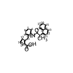 CC(C(=O)Nc1ccccc1Cc1ccsc1C(=O)O)c1cccc2ccccc12